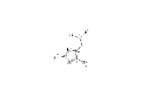 FC(F)Cn1nc(Br)nc1Br